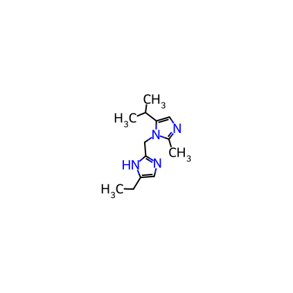 CCc1cnc(Cn2c(C(C)C)cnc2C)[nH]1